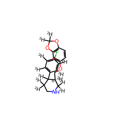 [2H]c1c([2H])c(C2([2H])C([2H])([2H])CNC([2H])([2H])[C@]2([2H])COc2ccc3c(c2)OC([2H])([2H])O3)c([2H])c([2H])c1F